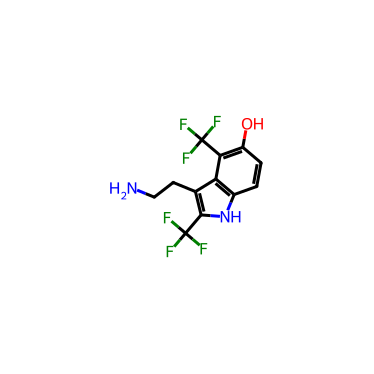 NCCc1c(C(F)(F)F)[nH]c2ccc(O)c(C(F)(F)F)c12